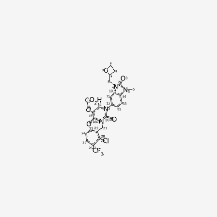 Cn1c(=O)n(CC2CCO2)c2cc(-n3cc(OC(=O)O)c(=O)n(Cc4cccc(C(F)(F)F)c4Cl)c3=O)ccc21